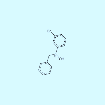 O[C@H](Cc1ccccc1)c1cccc(Br)c1